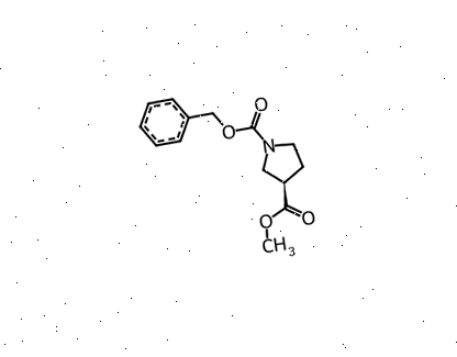 COC(=O)[C@@H]1CCN(C(=O)OCc2ccccc2)C1